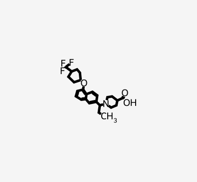 CCC(c1ccc2c(OC3CCC(C(F)(F)F)CC3)cccc2c1)N1CCC(C(=O)O)CC1